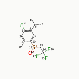 Cc1cc(F)c(C(C)C)cc1[S+]([O-])CC(F)(F)F